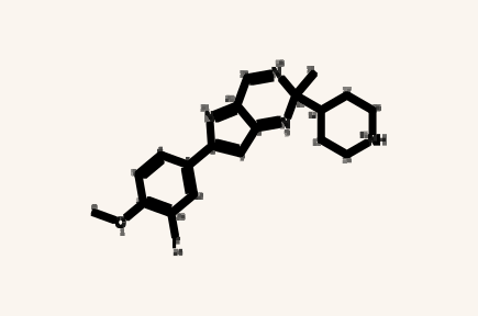 COc1ccc(C2=CC3=NC(C)(C4CCNCC4)N=CC3=N2)cc1F